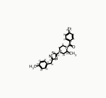 CCc1ccc(C(=O)N2CCN(c3nc(Cc4ccc(C)cc4)ns3)CC2C)cc1